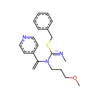 C=C(c1ccncc1)N(CCCOC)/C(=N\C)SCc1ccccc1